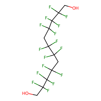 OCC(F)(F)C(F)(F)C(F)(F)CC(F)(F)C(F)(F)CC(F)(F)C(F)(F)C(F)(F)CO